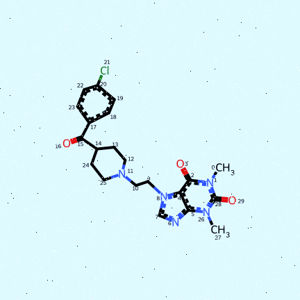 Cn1c(=O)c2c(ncn2CCN2CCC(C(=O)c3ccc(Cl)cc3)CC2)n(C)c1=O